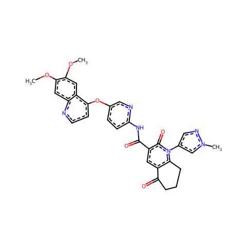 COc1cc2nccc(Oc3ccc(NC(=O)c4cc5c(n(-c6cnn(C)c6)c4=O)CCCC5=O)nc3)c2cc1OC